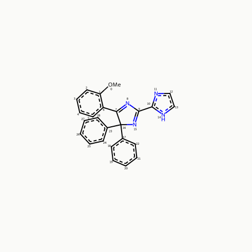 COc1ccccc1C1=NC(c2ncc[nH]2)=NC1(c1ccccc1)c1ccccc1